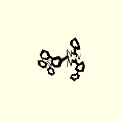 c1ccc(-c2cccc(-c3nc(-c4ccccc4)nc(-c4ccc5c(c4)-c4ccccc4[Si]5(c4ccccc4)c4ccccc4)n3)c2)cc1